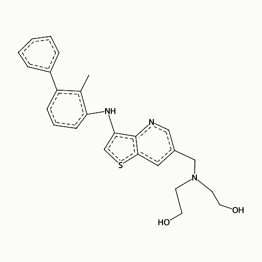 Cc1c(Nc2csc3cc(CN(CCO)CCO)cnc23)cccc1-c1ccccc1